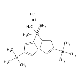 C[Si](C)(C)C1=CC[C]([Zr]([CH3])([CH3])(=[SiH2])[C]2=CC([Si](C)(C)C)=CC2)=C1.Cl.Cl